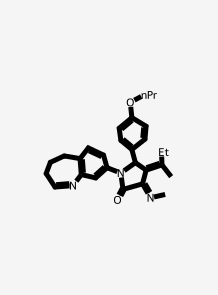 CCCOc1ccc(C2C(=C(/C)CC)/C(=N\C)C(=O)N2c2ccc3c(c2)N=CCCC3)cc1